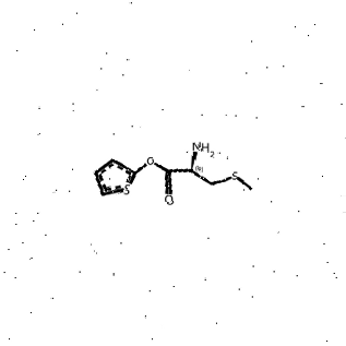 CSC[C@H](N)C(=O)Oc1cccs1